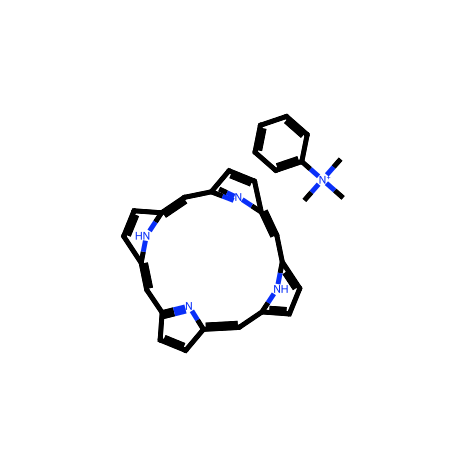 C1=Cc2cc3ccc(cc4nc(cc5ccc(cc1n2)[nH]5)C=C4)[nH]3.C[N+](C)(C)c1ccccc1